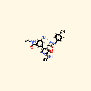 CC(C)NC(=O)c1cc(N)cc(-c2cnc(NC(C)C)c(=O)n2CC(=O)NCc2ccc(C#N)cc2)c1